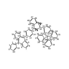 c1ccc(-c2c3ccccc3c(-c3ccc(-c4nc(-c5cccc6c5-c5ccccc5C65c6ccccc6-c6ccccc65)nc5ccccc45)cc3)c3ccccc23)cc1